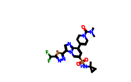 CN(C)C(=O)N1CC=C(c2cc(S(=O)(=O)NC3(C)CC3)cn3c(-c4nnc(C(F)F)s4)cnc23)CC1